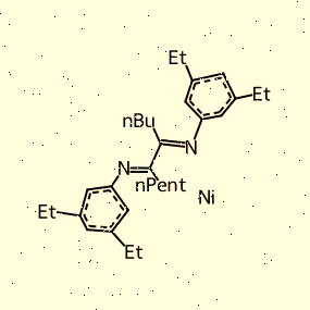 CCCCCC(=N\c1cc(CC)cc(CC)c1)/C(CCCC)=N/c1cc(CC)cc(CC)c1.[Ni]